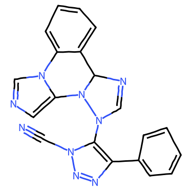 N#Cn1nnc(-c2ccccc2)c1N1C=NC2c3ccccc3-n3cncc3N21